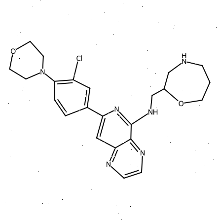 Clc1cc(-c2cc3nccnc3c(NCC3CNCCCO3)n2)ccc1N1CCOCC1